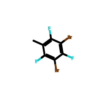 Cc1c(F)c(Br)c(F)c(Br)c1F